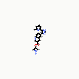 Cc1cccc(-c2[nH]cnc2-c2ccc3ncc(C(=O)OC4CNC4)cc3c2)n1